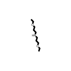 CCOCCCNCCCOCC